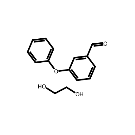 O=Cc1cccc(Oc2ccccc2)c1.OCCO